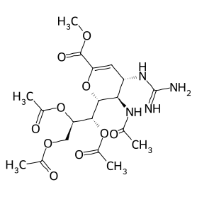 COC(=O)C1=C[C@H](NC(=N)N)[C@@H](NC(C)=O)[C@H]([C@H](OC(C)=O)[C@@H](COC(C)=O)OC(C)=O)O1